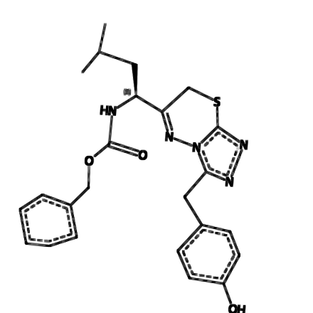 CC(C)C[C@H](NC(=O)OCc1ccccc1)C1=Nn2c(Cc3ccc(O)cc3)nnc2SC1